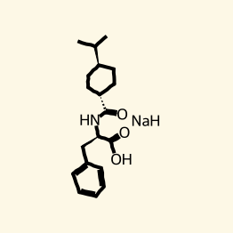 CC(C)[C@H]1CC[C@H](C(=O)N[C@H](Cc2ccccc2)C(=O)O)CC1.[NaH]